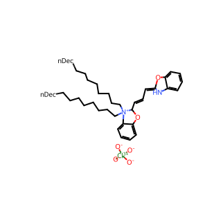 CCCCCCCCCCCCCCCCCC[N+]1(CCCCCCCCCCCCCCCCCC)c2ccccc2OC1C=CC=C1Nc2ccccc2O1.[O-][Cl+3]([O-])([O-])[O-]